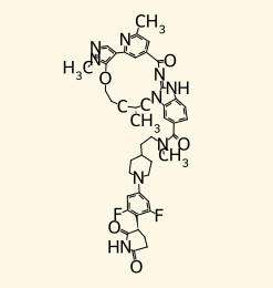 Cc1cc2cc(n1)-c1cnn(C)c1OCCC[C@@H](C)CN1/C(=N/C2=O)Nc2ccc(C(=O)N(C)CCC3CCN(c4cc(F)c([C@H]5CCC(=O)NC5=O)c(F)c4)CC3)cc21